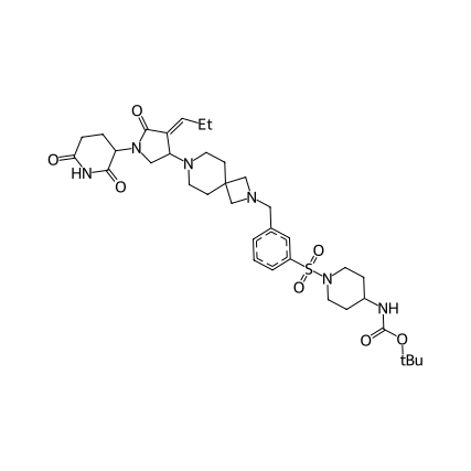 CC/C=C1/C(=O)N(C2CCC(=O)NC2=O)CC1N1CCC2(CC1)CN(Cc1cccc(S(=O)(=O)N3CCC(NC(=O)OC(C)(C)C)CC3)c1)C2